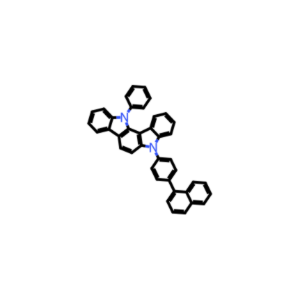 c1ccc(-n2c3ccccc3c3ccc4c(c5ccccc5n4-c4ccc(-c5cccc6ccccc56)cc4)c32)cc1